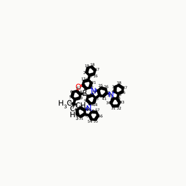 CC(C)(C)c1ccc2c(c1)B1c3c(cc(-c4ccccc4)cc3-n3c4ccc(-n5c6ccccc6c6ccccc65)cc4c4cc(-n5c6ccccc6c6ccccc65)cc1c43)O2